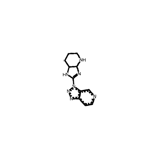 [C]1CCNC2N=C(n3nnc4ccncc43)NC12